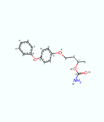 CC(CCOc1ccc(Oc2ccccc2)cc1)OC(N)=O